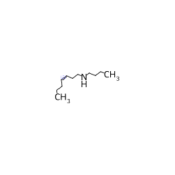 CCC/C=C\CCNCCCC